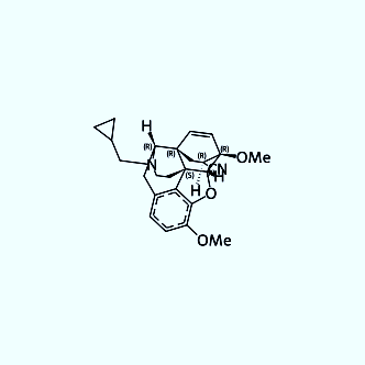 COc1ccc2c3c1O[C@H]1[C@@]4(OC)C=C[C@@]5(C[C@@H]4C#N)[C@@H](C2)N(CC2CC2)CC[C@]315